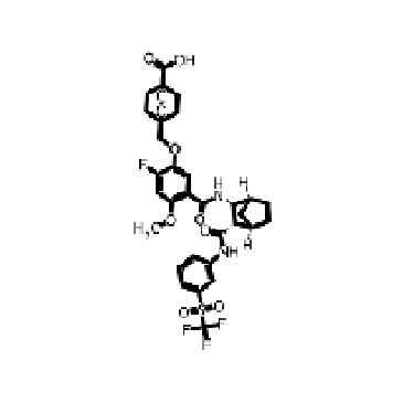 COc1cc(F)c(OCC23CCC(C(=O)O)(CC2)CC3)cc1C(=O)N[C@@H]1[C@H]2CC[C@H](C2)[C@@H]1C(=O)Nc1cccc(S(=O)(=O)C(F)(F)F)c1